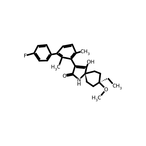 CC[C@]1(OC)CC[C@@]2(CC1)NC(=O)C(c1c(C)ccc(-c3ccc(F)cc3)c1C)=C2O